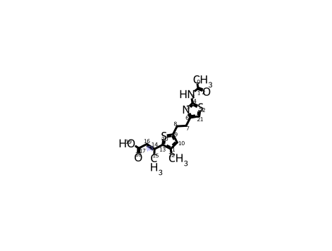 CC(=O)Nc1nc(CCc2cc(C)c(/C(C)=C/C(=O)O)s2)cs1